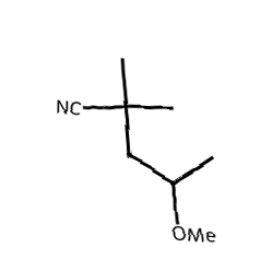 COC(C)CC(C)(C)C#N